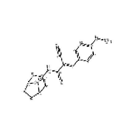 COc1ccc(C=C(C#N)C(=O)NC2CC3CCC(C2)N3C)cc1